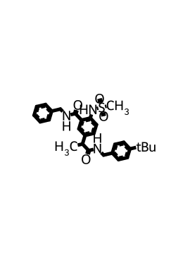 CC(C(=O)NCc1ccc(C(C)(C)C)cc1)c1ccc(NS(C)(=O)=O)c(C(=O)NCc2ccccc2)c1